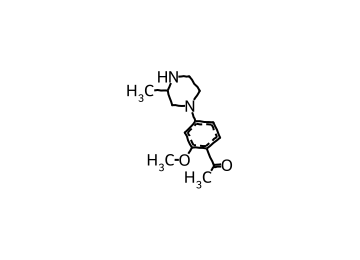 COc1cc(N2CCNC(C)C2)ccc1C(C)=O